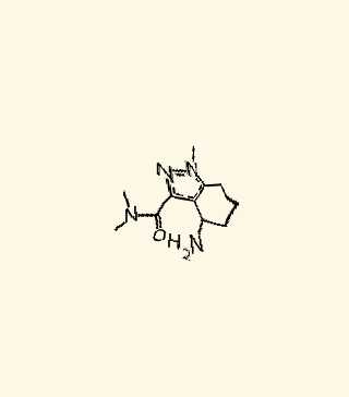 CN(C)C(=O)c1nn(C)c2c1C(N)CCC2